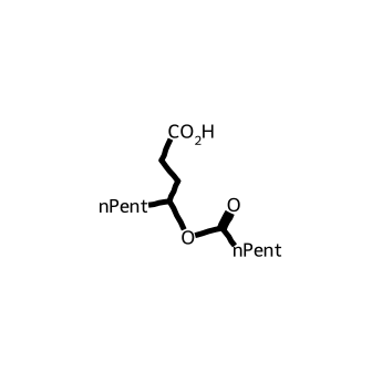 CCCCCC(=O)OC(CCCCC)CCC(=O)O